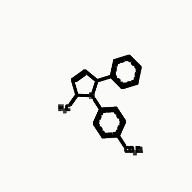 CCOC(=O)c1ccc(N2C(C)C=CC2c2ccccc2)cc1